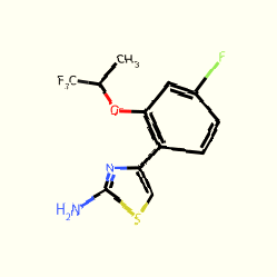 CC(Oc1cc(F)ccc1-c1csc(N)n1)C(F)(F)F